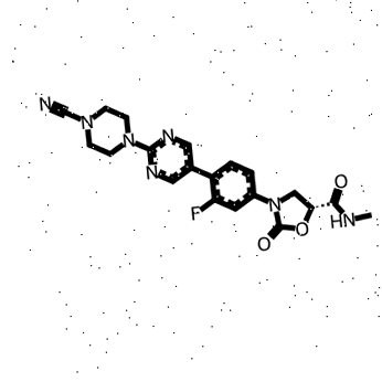 CNC(=O)[C@H]1CN(c2ccc(-c3cnc(N4CCN(C#N)CC4)nc3)c(F)c2)C(=O)O1